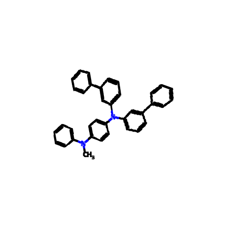 CN(c1ccccc1)c1ccc(N(c2cccc(-c3ccccc3)c2)c2cccc(-c3ccccc3)c2)cc1